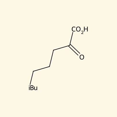 CCC(C)CCCC(=O)C(=O)O